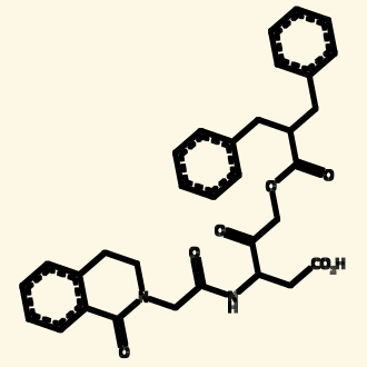 O=C(O)CC(NC(=O)CN1CCc2ccccc2C1=O)C(=O)COC(=O)C(Cc1ccccc1)Cc1ccccc1